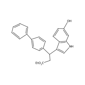 CCOC(=O)CC(c1ccc(-c2ccccc2)cc1)c1c[nH]c2cc(O)ccc12